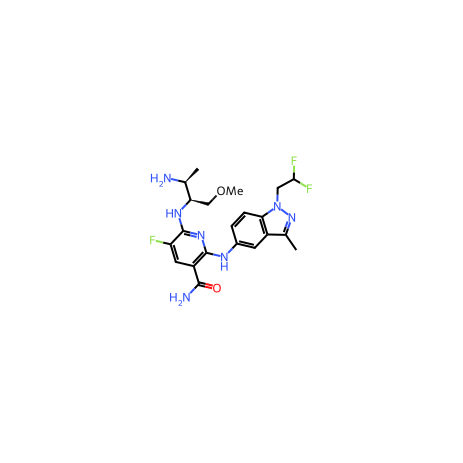 COC[C@@H](Nc1nc(Nc2ccc3c(c2)c(C)nn3CC(F)F)c(C(N)=O)cc1F)[C@H](C)N